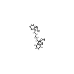 O=C1N=C2C=CC=CN2C1=CC=CC=Cc1c(O)nc2ccccn12